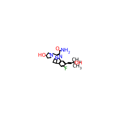 CC(C)(O)C#Cc1cc2c(cc1F)C1CC(C1)n1c-2nc(C(N)=O)c1CN1CCC(O)C1